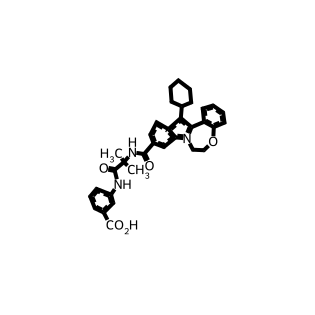 CC(C)(NC(=O)c1ccc2c(C3CCCCC3)c3n(c2c1)CCOc1ccccc1-3)C(=O)Nc1cccc(C(=O)O)c1